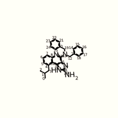 CC(C)Cc1cccc2nc(N(Cc3ccccc3)Cc3ccccc3)c3nc(N)[nH]c3c12